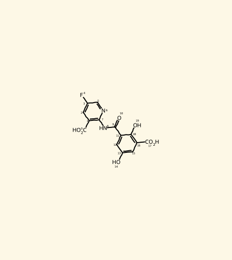 O=C(O)c1cc(F)cnc1NC(=O)c1cc(O)cc(C(=O)O)c1O